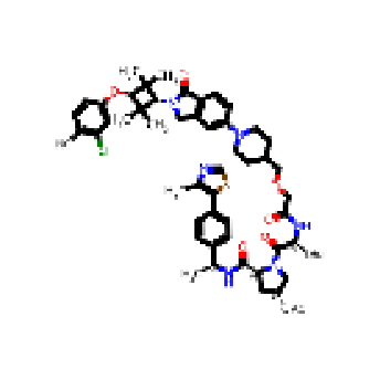 CC(=O)O[C@@H]1C[C@@H](C(=O)N[C@@H](C)c2ccc(-c3scnc3C)cc2)N(C(=O)[C@@H](NC(=O)COCC2CCN(c3ccc4c(c3)CN([C@H]3C(C)(C)[C@H](Oc5ccc(C#N)c(Cl)c5)C3(C)C)C4=O)CC2)C(C)(C)C)C1